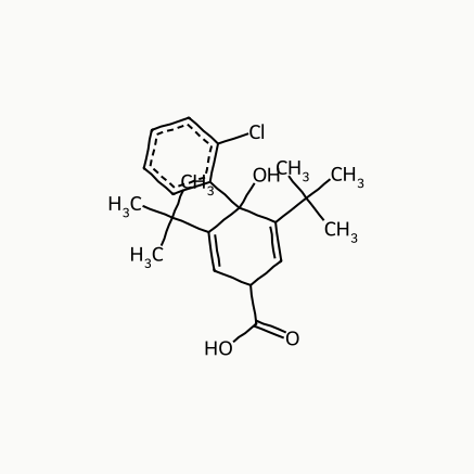 CC(C)(C)C1=CC(C(=O)O)C=C(C(C)(C)C)C1(O)c1ccccc1Cl